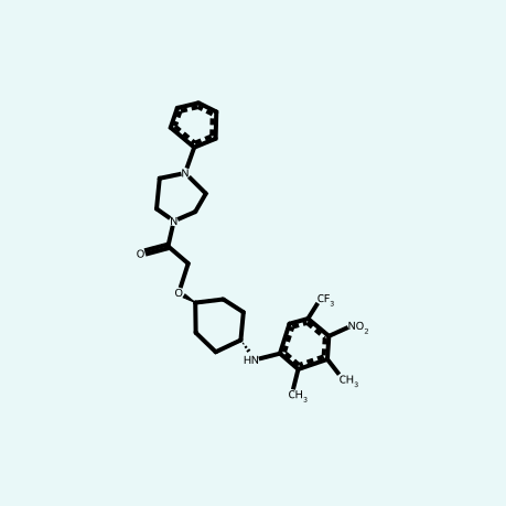 Cc1c(N[C@H]2CC[C@H](OCC(=O)N3CCN(c4ccccc4)CC3)CC2)cc(C(F)(F)F)c([N+](=O)[O-])c1C